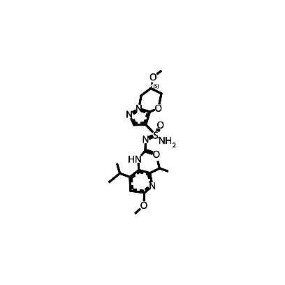 COc1cc(C(C)C)c(NC(=O)N=S(N)(=O)c2cnn3c2OC[C@@H](OC)C3)c(C(C)C)n1